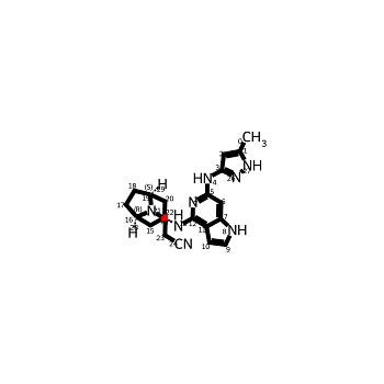 Cc1cc(Nc2cc3[nH]ccc3c(N[C@@H]3C[C@H]4CC[C@@H](C3)N4CCC#N)n2)n[nH]1